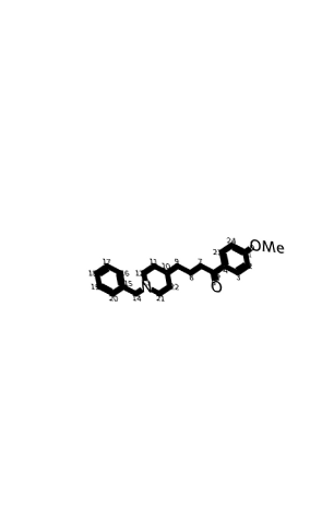 COc1ccc(C(=O)CCCC2CCN(Cc3ccccc3)CC2)cc1